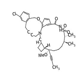 CC#C[C@]1(OC)CCC[C@H](C)[C@@H](C)S(=O)(=O)NC(=O)c2ccc3c(c2)N(CCCCc2cc(Cl)ccc2CO3)C[C@@H]2CC[C@H]21